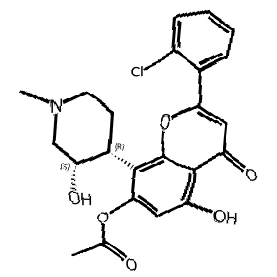 CC(=O)Oc1cc(O)c2c(=O)cc(-c3ccccc3Cl)oc2c1[C@H]1CCN(C)C[C@H]1O